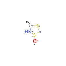 CC1N[S+]([O-])CS1